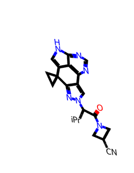 CC(C)C(C(=O)N1CC(C#N)C1)n1cc2c(n1)C1(CC1)c1c[nH]c3ncnc-2c13